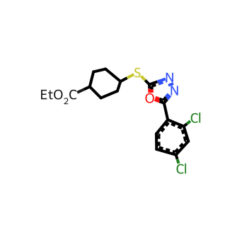 CCOC(=O)C1CCC(Sc2nnc(-c3ccc(Cl)cc3Cl)o2)CC1